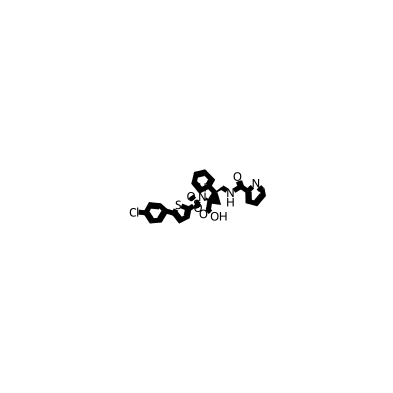 O=C(NC[C@@]1(c2ccccc2)C[C@]1(NS(=O)(=O)c1ccc(-c2ccc(Cl)cc2)s1)C(=O)O)c1ccccn1